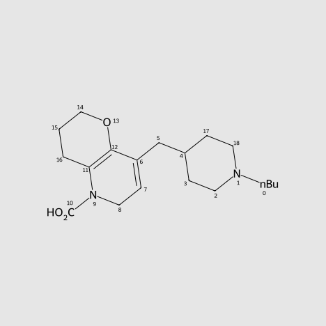 CCCCN1CCC(CC2=CCN(C(=O)O)C3=C2OCCC3)CC1